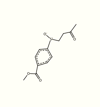 COC(=O)c1ccc([S+]([O-])CCC(C)=O)cc1